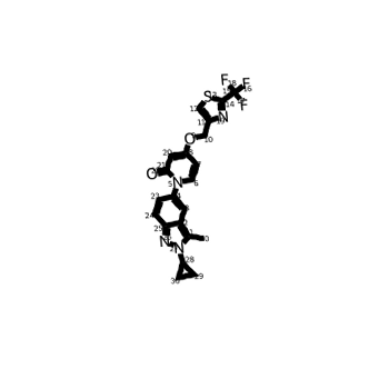 Cc1c2cc(-n3ccc(OCc4csc(C(F)(F)F)n4)cc3=O)ccc2nn1C1CC1